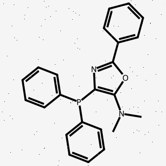 CN(C)c1oc(-c2ccccc2)nc1P(c1ccccc1)c1ccccc1